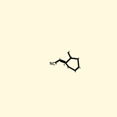 CC1CCCCC1=CC#N